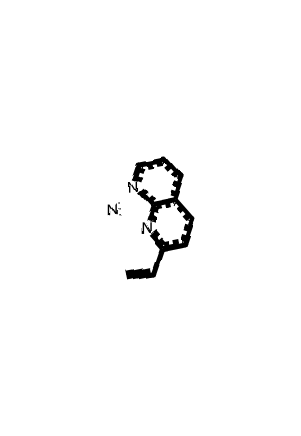 C=Cc1ccc2cccnc2n1.[N]